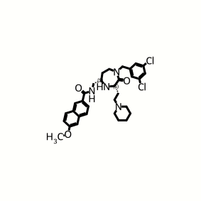 COc1ccc2cc(C(=O)NC[C@@H]3CCN(Cc4cc(Cl)cc(Cl)c4)C(=O)[C@H](CCN4CCCCC4)N3)ccc2c1